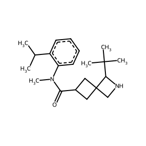 CC(C)c1ccccc1N(C)C(=O)C1CC2(CNC2C(C)(C)C)C1